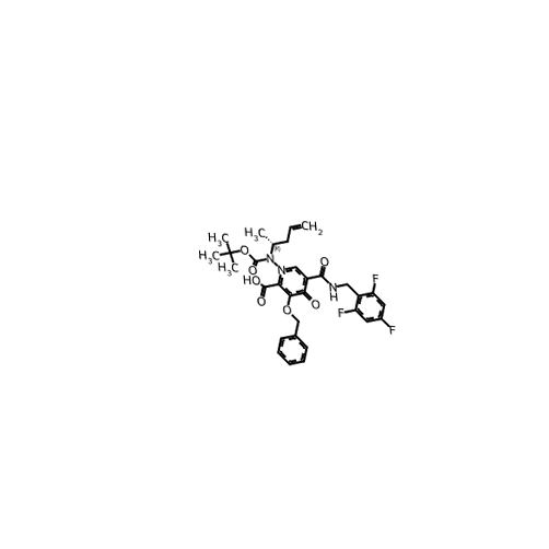 C=CC[C@@H](C)N(C(=O)OC(C)(C)C)n1cc(C(=O)NCc2c(F)cc(F)cc2F)c(=O)c(OCc2ccccc2)c1C(=O)O